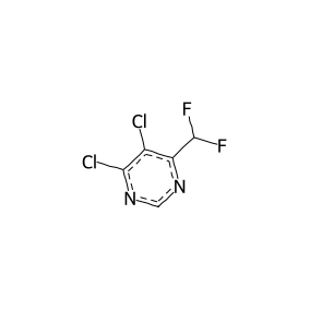 FC(F)c1ncnc(Cl)c1Cl